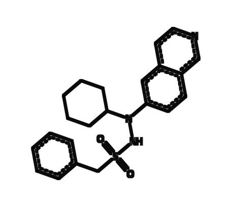 O=S(=O)(Cc1ccccc1)NN(c1ccc2cnccc2c1)C1CCCCC1